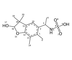 Cc1c(C(C)NS(=O)(=O)O)cc2c(c1C)OC(O)C2(C)C